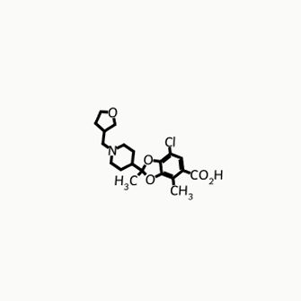 Cc1c(C(=O)O)cc(Cl)c2c1OC(C)(C1CCN(CC3CCOC3)CC1)O2